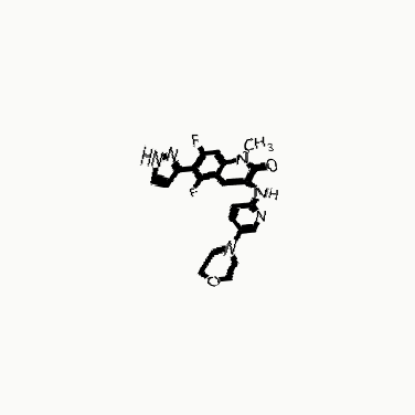 Cn1c(=O)c(Nc2ccc(N3CCOCC3)cn2)cc2c(F)c(-c3cc[nH]n3)c(F)cc21